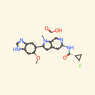 COc1cc2[nH]cnc2cc1-c1cc2cc(NC(=O)[C@@H]3C[C@@H]3F)ncc2n1C.O=CO